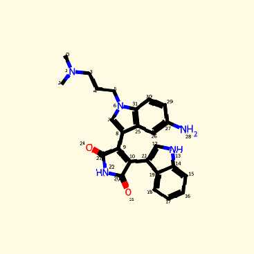 CN(C)CCCn1cc(C2=C(c3c[nH]c4ccccc34)C(=O)NC2=O)c2cc(N)ccc21